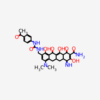 CC(=O)c1ccc(NC(=O)NCc2cc(N(C)C)c3c(c2O)C(=O)C2=C(O)C4C(=O)C(C(N)=O)=C(O)C(=N)C4CC2C3)cc1